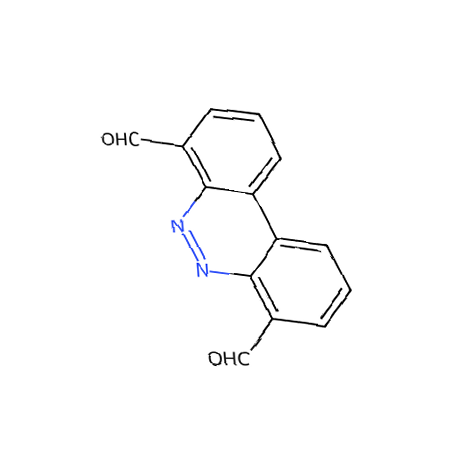 O=Cc1cccc2c1nnc1c(C=O)cccc12